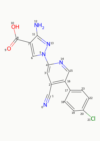 N#Cc1cc(-n2cc(C(=O)O)c(N)n2)ncc1-c1ccc(Cl)cc1